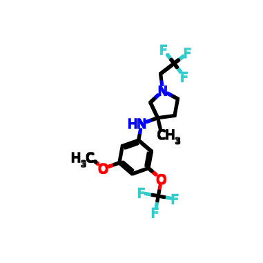 COc1cc(NC2(C)CCN(CC(F)(F)F)C2)cc(OC(F)(F)F)c1